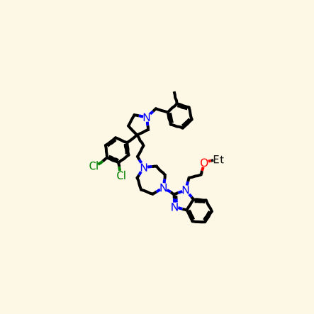 CCOCCn1c(N2CCCN(CCC3(c4ccc(Cl)c(Cl)c4)CCN(Cc4ccccc4C)C3)CC2)nc2ccccc21